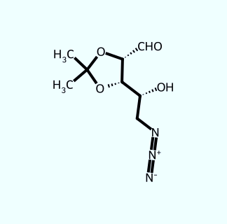 CC1(C)O[C@@H]([C@H](O)CN=[N+]=[N-])[C@@H](C=O)O1